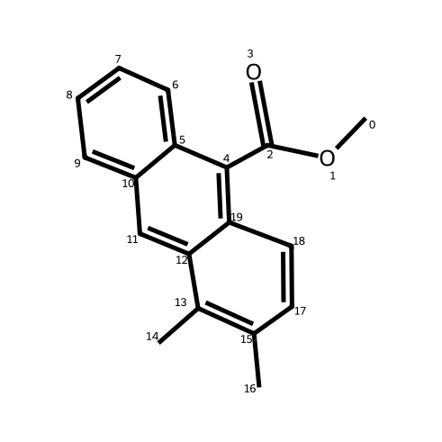 COC(=O)c1c2ccccc2cc2c(C)c(C)ccc12